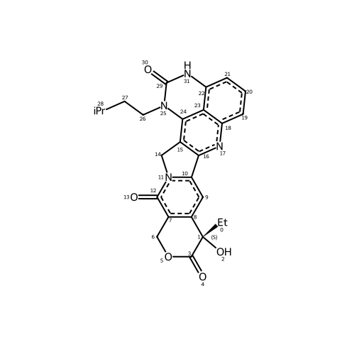 CC[C@@]1(O)C(=O)OCc2c1cc1n(c2=O)Cc2c-1nc1cccc3c1c2N(CCC(C)C)C(=O)N3